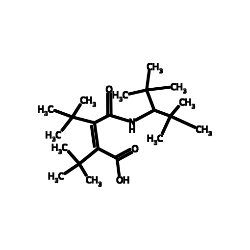 CC(C)(C)/C(C(=O)O)=C(/C(=O)NC(C(C)(C)C)C(C)(C)C)C(C)(C)C